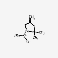 C=C1CN([S+]([O-])C(C)(C)C)C(C)(C)C1